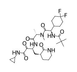 C[C@@H](C(=O)N[C@@H](C[C@@H]1CCCNC1=O)C(=O)C(=O)NC1CC1)N(C)C(=O)[C@H](NC(=O)C(C)(C)C)C1CCC(F)(F)CC1